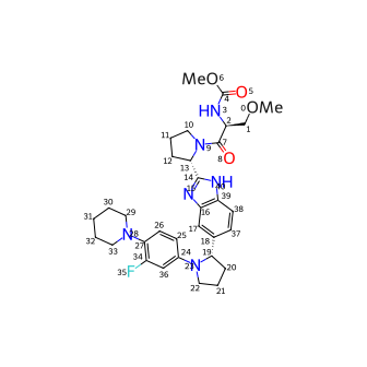 COC[C@H](NC(=O)OC)C(=O)N1CCC[C@H]1c1nc2cc([C@@H]3CCCN3c3ccc(N4CCCCC4)c(F)c3)ccc2[nH]1